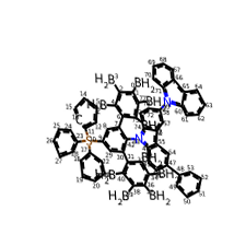 Bc1c(B)c(B)c(-c2cc(S(c3ccccc3)(c3ccccc3)c3ccccc3)cc(-c3c(B)c(B)c(B)c(B)c3B)c2-n2c3ccc(-c4ccccc4)cc3c3cc(-n4c5ccccc5c5ccccc54)ccc32)c(B)c1B